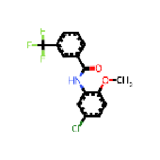 COc1ccc(Cl)cc1NC(=O)c1cccc(C(F)(F)F)c1